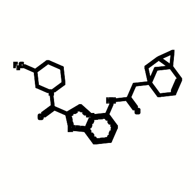 O=C(CC12CC=CC3(CC3C1)C2)Nc1cccc2nc(C(=O)N3CCCC(C(F)(F)F)C3)cn12